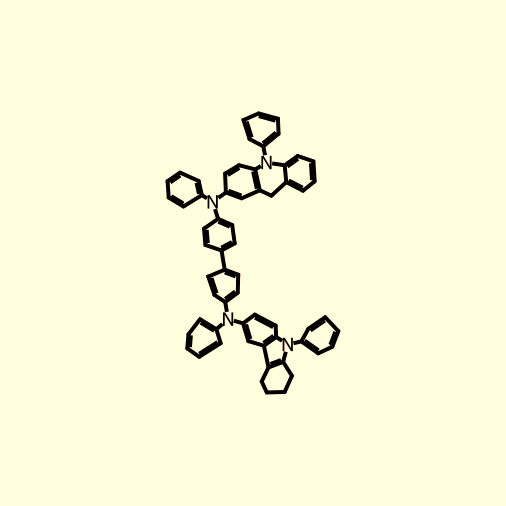 c1ccc(N(c2ccc(-c3ccc(N(c4ccccc4)c4ccc5c(c4)c4c(n5-c5ccccc5)CCCC4)cc3)cc2)c2ccc3c(c2)Cc2ccccc2N3c2ccccc2)cc1